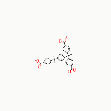 COC(=O)c1ccc(C(C)(C)c2ccc(C(C)(c3ccc(C(=O)OC)cc3)c3ccc(C(=O)OC)cc3)cc2)cc1